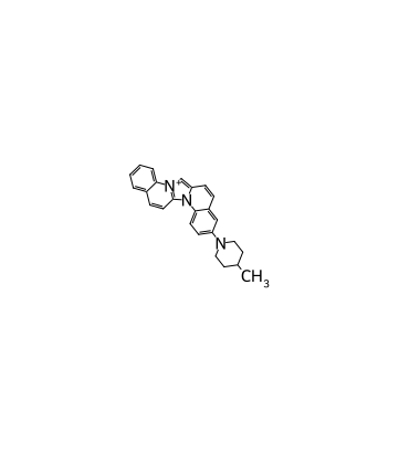 CC1CCN(c2ccc3c(ccc4c[n+]5c6ccccc6ccc5n43)c2)CC1